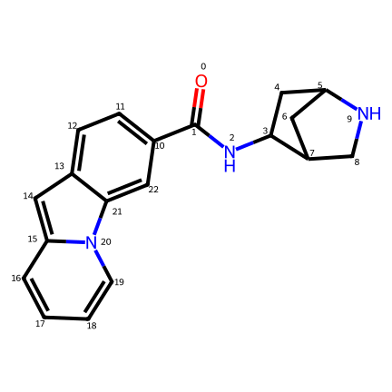 O=C(NC1CC2CC1CN2)c1ccc2cc3ccccn3c2c1